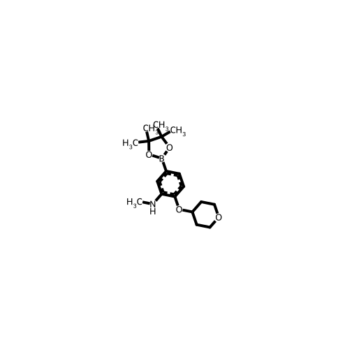 CNc1cc(B2OC(C)(C)C(C)(C)O2)ccc1OC1CCOCC1